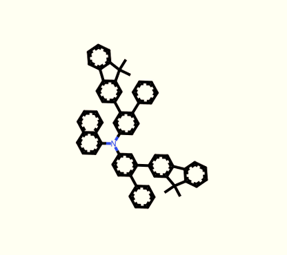 CC1(C)c2ccccc2-c2ccc(-c3cc(N(c4ccc(-c5ccccc5)c(-c5ccc6c(c5)C(C)(C)c5ccccc5-6)c4)c4cccc5ccccc45)ccc3-c3ccccc3)cc21